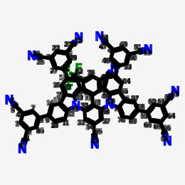 N#Cc1cc(C#N)cc(-c2ccc3c(c2)c2cc(-c4cc(C#N)cc(C#N)c4)ccc2n3-c2cc(C#N)cc(-n3c4ccc(-c5cc(C#N)cc(C#N)c5)cc4c4cc(-c5cc(C#N)cc(C#N)c5)ccc43)c2-c2cc(C#N)cc(C(F)(F)F)c2)c1